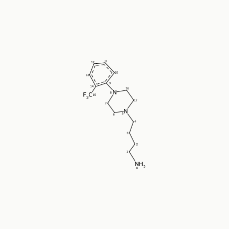 NCCCCN1CCN(c2ccccc2C(F)(F)F)CC1